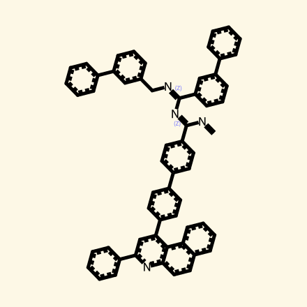 C=N/C(=N\C(=N/Cc1cccc(-c2ccccc2)c1)c1cccc(-c2ccccc2)c1)c1ccc(-c2ccc(-c3cc(-c4ccccc4)nc4ccc5ccccc5c34)cc2)cc1